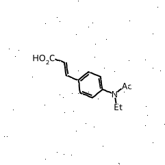 CCN(C(C)=O)c1ccc(C=CC(=O)O)cc1